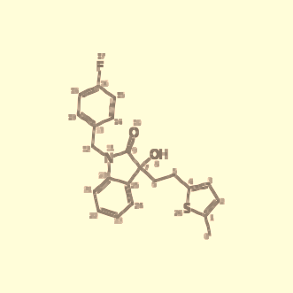 Cc1ccc(CCC2(O)C(=O)N(Cc3ccc(F)cc3)c3ccccc32)s1